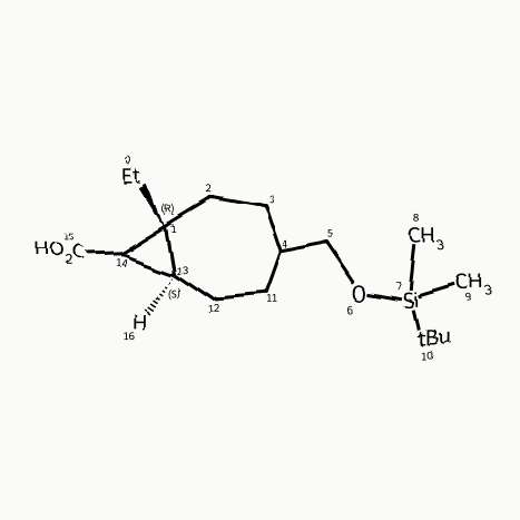 CC[C@@]12CCC(CO[Si](C)(C)C(C)(C)C)CC[C@H]1C2C(=O)O